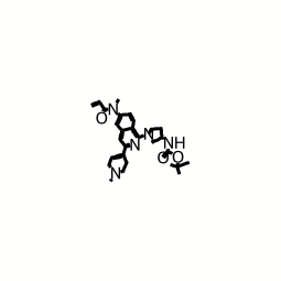 C=CC(=O)N(C)c1ccc2c(N3CC[C@@H](NC(=O)OC(C)(C)C)C3)nc(C3=CCN(C)CC3)cc2c1